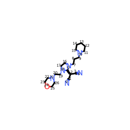 N#CC(C#N)=C1N(CCCN2CCCCC2)CCN1CCN1CCOCC1